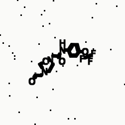 O=[C]CN1CCN(CC(=O)Nc2ccc(OC(F)(F)F)cc2)CC1